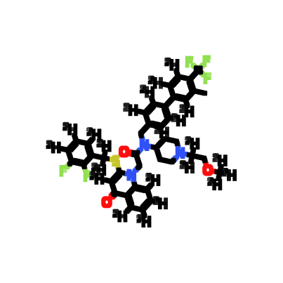 [2H]c1c([2H])c(F)c(F)c(C([2H])([2H])Sc2c([2H])c(=O)c3c([2H])c([2H])c([2H])c([2H])c3n2CC(=O)N(Cc2c([2H])c([2H])c(-c3c([2H])c([2H])c(C(F)(F)F)c(C)c3[2H])c([2H])c2[2H])C2CCN(C([2H])([2H])COC([2H])([2H])[2H])CC2)c1[2H]